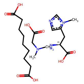 CN(C)CC(=O)O.Cn1cncc1C[C@H](N)C(=O)O.O=C(O)CCCCCCCC(=O)O